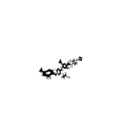 O=C(NS(=O)(=O)N1CCC1)c1cc(C2CC2)c(OCC2CCN(Cc3ccc(C4CC4)cc3Cl)CC2)cc1F.O=C(O)C(F)(F)F